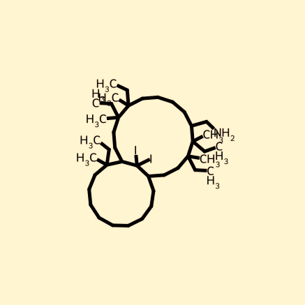 CCC1(C)CCCCCCCCCC2CCC(C)(CC)C(C)(CC)C(CN)CCCCC(C)(CC)C(C)(CC)CCC1C2(I)I